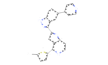 CC(=O)c1ccc(-c2nccc3[nH]c(-c4n[nH]c5ccc(-c6ccncc6)cc45)cc23)s1